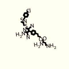 N#Cc1c(N)nc(SCc2csc(-c3ccc(Cl)cc3)n2)c(C#N)c1-c1ccc(CCCOC(=O)[C@@H](N)CCN)cc1